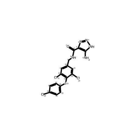 Nc1[nH]nnc1C(=O)NCc1cc(Cl)c(Sc2ccc(Cl)cc2)c(Cl)c1